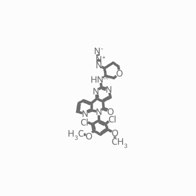 COc1cc(OC)c(Cl)c(-n2c(=O)c3cnc(N[C@@H]4COCCC4N=[N+]=[N-])nc3c3cccnc32)c1Cl